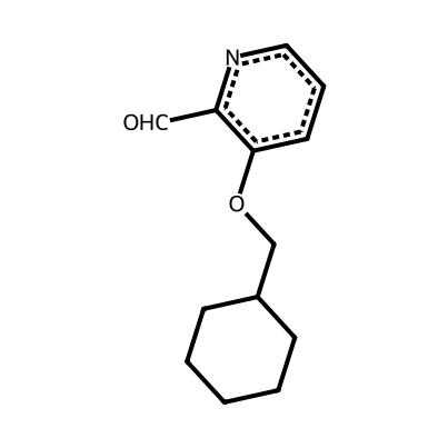 O=Cc1ncccc1OCC1CCCCC1